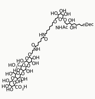 CCCCCCCCCCCCCC[C@@H](O)[C@@H](O)[C@H](COC1OC(COCCCCCCNC(=O)CCCCC(=O)NCCOC2OC(CO)C(OC3OC(C(=O)O)C(O)C(OC4OC(CO)C(OC5OC(C(=O)O)C(O)C(O)C5O)C(O)C4O)C3O)C(O)C2O)C(O)C(O)C1O)NC(C)=O